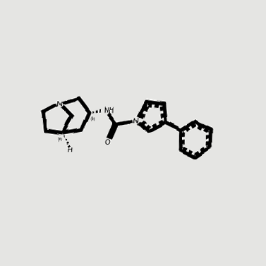 O=C(N[C@@H]1C[C@H]2CCN(C2)C1)n1ccc(-c2ccccc2)c1